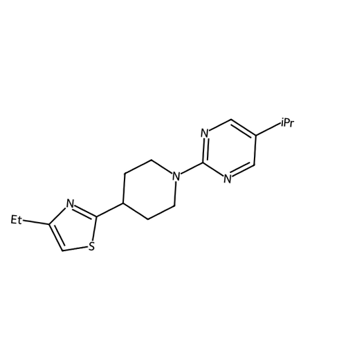 CCc1csc(C2CCN(c3ncc(C(C)C)cn3)CC2)n1